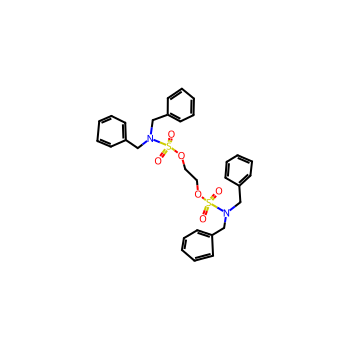 O=S(=O)(OCCOS(=O)(=O)N(Cc1ccccc1)Cc1ccccc1)N(Cc1ccccc1)Cc1ccccc1